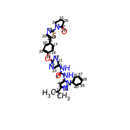 CC(C)c1cc(NC(=O)Nc2cnc(Oc3ccc(-c4cnc(N5CCCC5=O)s4)cc3)nc2)n(-c2ccccc2)n1